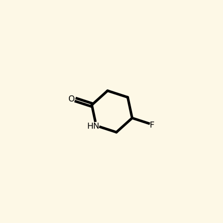 O=C1CCC(F)CN1